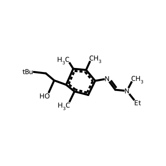 CCN(C)C=Nc1cc(C)c(C(O)CC(C)(C)C)c(C)c1C